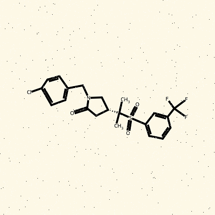 CC(C)([C@@H]1CC(=O)N(Cc2ccc(Cl)cc2)C1)S(=O)(=O)c1cccc(C(F)(F)F)c1